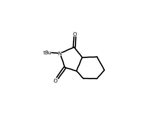 CC(C)(C)N1C(=O)C2CCCCC2C1=O